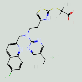 CCc1cnc(N(CCc2csc(SC(C)(C)C(=O)O)n2)Cc2ccc3cc(Cl)ccc3n2)nc1.Cl